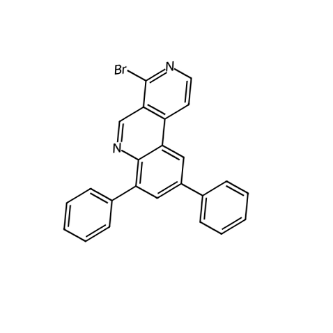 Brc1nccc2c1cnc1c(-c3ccccc3)cc(-c3ccccc3)cc12